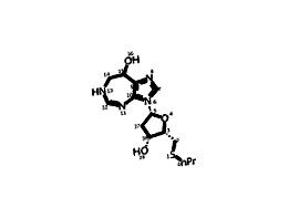 CCCSC[C@H]1O[C@@H](n2cnc3c2N=CNCC3O)C[C@H]1O